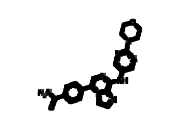 NC(=O)c1ccc(-c2cnc(Nc3cnc(N4CCOCC4)nc3)c3nccn23)cc1